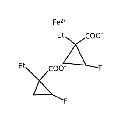 CCC1(C(=O)[O-])CC1F.CCC1(C(=O)[O-])CC1F.[Fe+2]